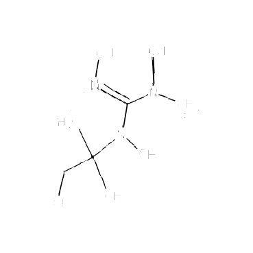 CCC(C)(C)N(C)C(=NC)N(C)C